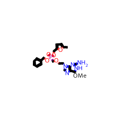 COC1NC(N)=Nc2c1ncn2CCOCP(=O)(OCc1ccccc1)OCc1ccc(C)o1